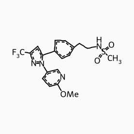 COc1ccc(-n2nc(C(F)(F)F)cc2-c2ccc(CCNS(C)(=O)=O)cc2)cn1